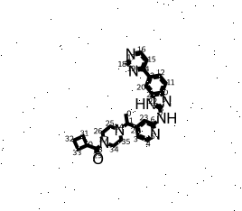 CC(c1ccnc(Nc2nc3ccc(-c4ccncn4)cc3[nH]2)c1)N1CCN(C(=O)C2CCC2)CC1